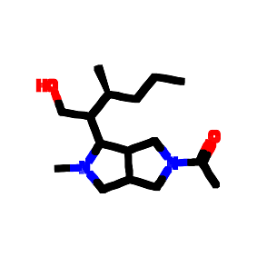 CCC[C@H](C)C(CO)C1C2CN(C(C)=O)CC2CN1C